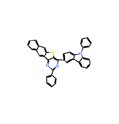 c1ccc(-c2nc(-c3ccc4c(c3)c3ccccc3n4-c3ccccc3)c3sc4cc5ccccc5cc4c3n2)cc1